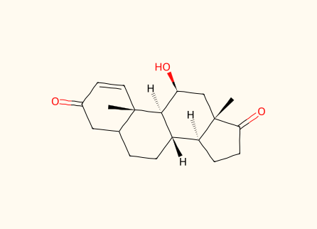 C[C@]12C=CC(=O)CC1CC[C@@H]1[C@@H]2[C@@H](O)C[C@]2(C)C(=O)CC[C@@H]12